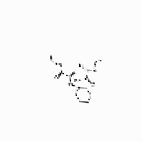 CCOC(=O)C(=O)NC1(NC(=O)C(=O)OCC)CCCCC1